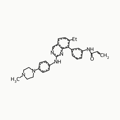 C=CC(=O)Nc1cccc(-c2c(CC)ccc3cnc(Nc4ccc(N5CCN(C)CC5)cc4)nc23)c1